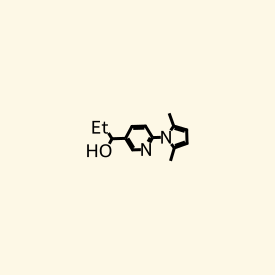 CCC(O)c1ccc(-n2c(C)ccc2C)nc1